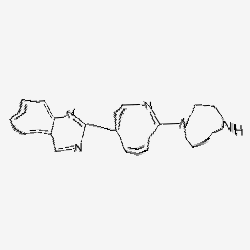 c1ccc2nc(-c3ccc(N4CCNCC4)nc3)ncc2c1